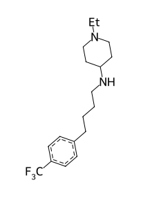 CCN1CCC(NCCCCc2ccc(C(F)(F)F)cc2)CC1